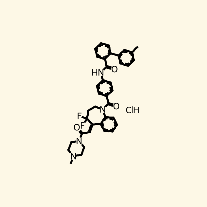 Cc1cccc(-c2ccccc2C(=O)Nc2ccc(C(=O)N3CCC(F)(F)C(=CC(=O)N4CCN(C)CC4)c4ccccc43)cc2)c1.Cl